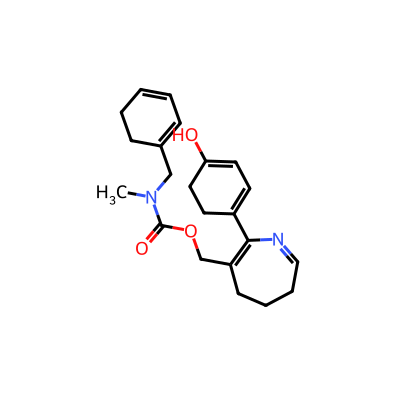 CN(CC1=CC=CCC1)C(=O)OCC1=C(C2=CC=C(O)CC2)N=CCCC1